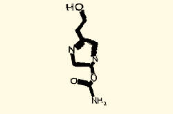 NC(=O)Oc1cnc(CCO)cn1